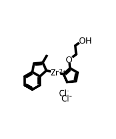 CC1=Cc2ccccc2[CH]1[Zr+2][C]1=C(OCCO)C=CC1.[Cl-].[Cl-]